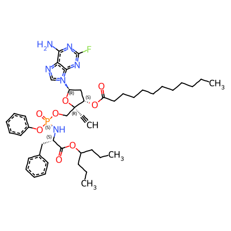 C#C[C@]1(CO[P@@](=O)(N[C@@H](Cc2ccccc2)C(=O)OC(CCC)CCC)Oc2ccccc2)O[C@@H](n2cnc3c(N)nc(F)nc32)C[C@@H]1OC(=O)CCCCCCCCCCC